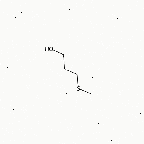 [CH2]SCCCO